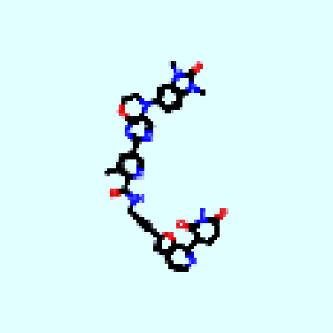 Cc1cc(-c2ncc3c(n2)OCCN3c2ccc3c(c2)n(C)c(=O)n3C)cnc1C(=O)NCC#Cc1cc2ccnc(C3CCC(=O)NC3=O)c2o1